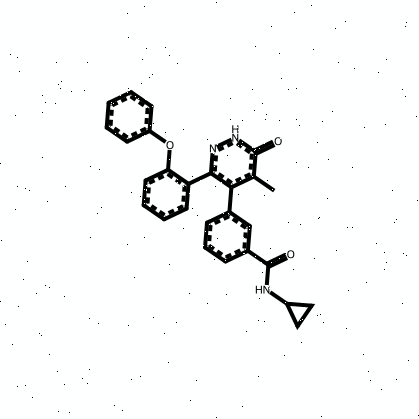 Cc1c(-c2cccc(C(=O)NC3CC3)c2)c(-c2ccccc2Oc2ccccc2)n[nH]c1=O